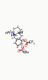 CCCN1CCC[C@@H]2Cc3c(ccc(OC(=O)C(C)(C)C)c3OC(=O)C(F)(F)F)C[C@H]21